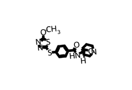 COc1nnc(Sc2ccc(C(=O)N[C@H]3CN4CCC3CC4)cc2)s1